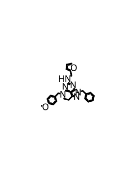 COc1ccc(CN2CCc3nn(Cc4ccccc4)c4nc(NCc5ccco5)nc2c34)cc1